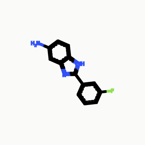 Nc1ccc2[nH]c(-c3cccc(F)c3)nc2c1